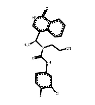 C[C@@H](c1c[nH]c(=O)c2ccccc12)N(CCC#N)C(=O)Nc1ccc(F)c(Cl)c1